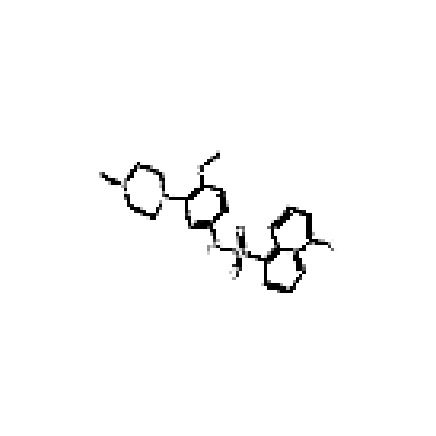 COc1ccc(NS(=O)(=O)c2cccc3c(Cl)cccc23)cc1N1CCN(C)CC1